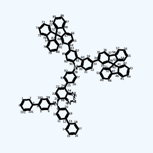 C1=CCC(c2ccc(N(c3ccc(-c4ccccc4)cc3)c3ccc(-c4ccc(-n5c6ccc(-c7ccc8c(c7)C7(c9ccccc9-c9ccccc97)c7ccccc7-8)cc6c6cc(-c7ccc8c(c7)C7(c9ccccc9-c9ccccc97)c7ccccc7-8)ccc65)cc4)c4nsnc34)cc2)C=C1